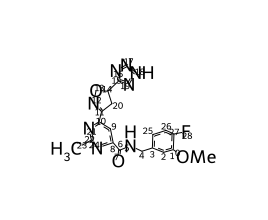 COc1cc(CNC(=O)c2cc(C3=NOC(c4nn[nH]n4)C3)nc(C)n2)ccc1F